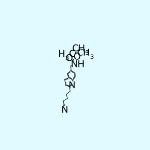 CC(C)(C)OC(=O)NCc1ccc2nc(CCCCC#N)ccc2c1